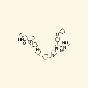 Nc1ncnc2c1c(-c1ccc(Oc3ccccc3)cc1)nn2C1CCN(CC2CCN(CC3CCN(c4ccc5c(c4)CN(C4CCC(=O)NC4=O)C5=O)CC3)CC2)CC1